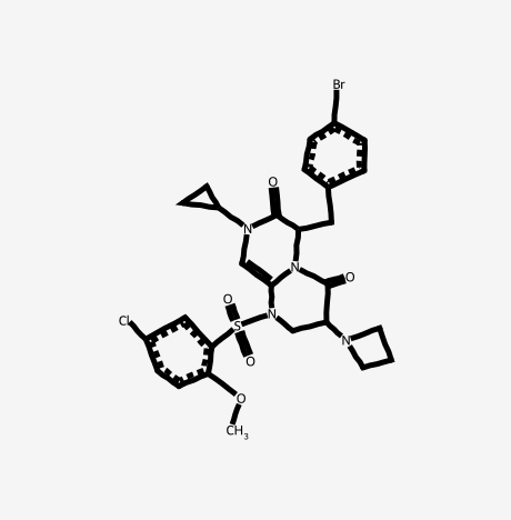 COc1ccc(Cl)cc1S(=O)(=O)N1CC(N2CCC2)C(=O)N2C1=CN(C1CC1)C(=O)C2Cc1ccc(Br)cc1